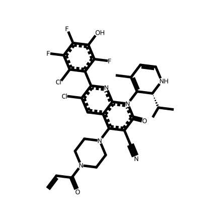 C=CC(=O)N1CCN(c2c(C#N)c(=O)n(C3=C(C)C=CN[C@@H]3C(C)C)c3nc(-c4c(F)c(O)c(F)c(F)c4Cl)c(Cl)cc23)CC1